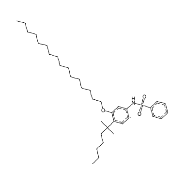 CCCCCCCCCCCCCCCCOc1cc(NS(=O)(=O)c2ccccc2)[c]cc1C(C)(C)CCCCC